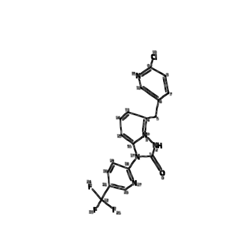 O=c1[nH][n+]2c(Cc3ccc(Cl)nc3)cccc2n1-c1ccc(C(F)(F)F)cn1